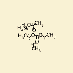 CC(C)[O-].CC[O][Ti+]([O]CC)[O]CC.[SiH4]